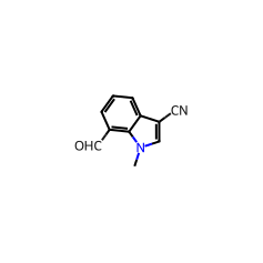 Cn1cc(C#N)c2cccc(C=O)c21